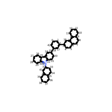 c1cc(-c2ccc3ccc4ccccc4c3c2)cc(-c2ccc3c(c2)c2ccccc2n3-c2ccc3ccccc3c2)c1